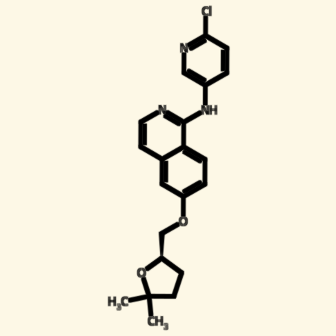 CC1(C)CC[C@H](COc2ccc3c(Nc4ccc(Cl)nc4)nccc3c2)O1